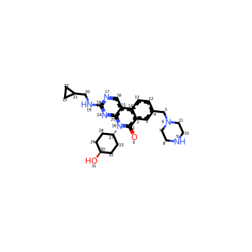 O=c1c2cc(CN3CCNCC3)ccc2c2cnc(NCC3CC3)nc2n1[C@H]1CC[C@H](O)CC1